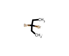 [CH2]CC(Br)(Br)CC